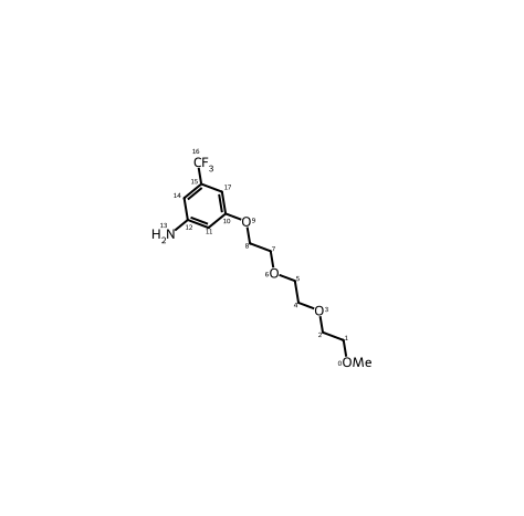 COCCOCCOCCOc1cc(N)cc(C(F)(F)F)c1